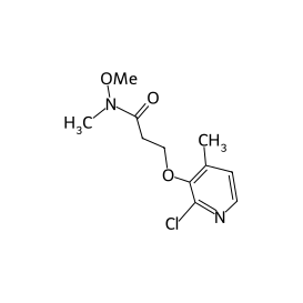 CON(C)C(=O)CCOc1c(C)ccnc1Cl